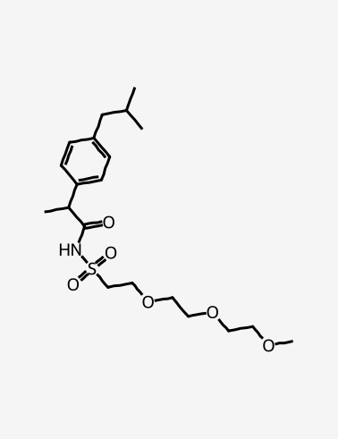 COCCOCCOCCS(=O)(=O)NC(=O)C(C)c1ccc(CC(C)C)cc1